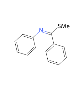 CSC(=Nc1ccccc1)c1ccccc1